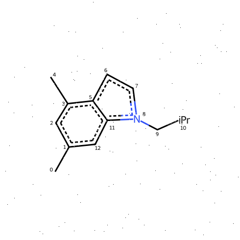 Cc1cc(C)c2ccn(CC(C)C)c2c1